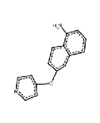 Nc1cccc2cc(Oc3ccncc3)ccc12